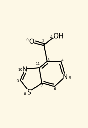 O=C(O)c1cncc2scnc12